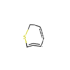 [C]1=CSCC=C1